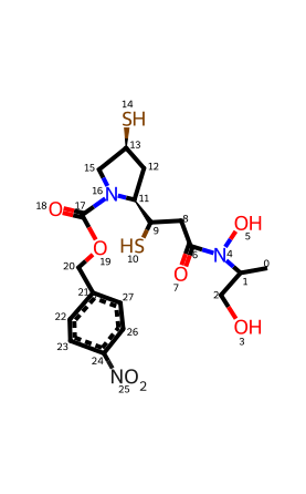 CC(CO)N(O)C(=O)CC(S)[C@@H]1C[C@H](S)CN1C(=O)OCc1ccc([N+](=O)[O-])cc1